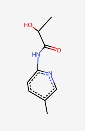 Cc1ccc(NC(=O)C(C)O)nc1